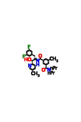 CCCN(CCC)C(=O)c1cc(C)cc(C(=O)N[C@@H](Cc2cc(F)cc(F)c2)C(O)c2ccc(C)cn2)c1